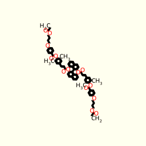 C=CC(=O)OCCCCOc1ccc(C(=O)Oc2c(C)cc(/C=C/C(=O)Oc3ccc4ccccc4c3-c3c(OC(=O)/C=C/c4cc(C)c(OC(=O)c5ccc(OCCCCOC(=O)C=C)cc5)c(C)c4)ccc4ccccc34)cc2C)cc1